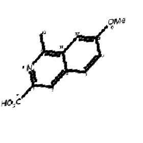 COc1ccc2cc(C(=O)O)nc(C)c2c1